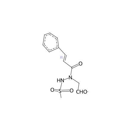 CS(=O)(=O)NN(C[C]=O)C(=O)/C=C/c1ccccc1